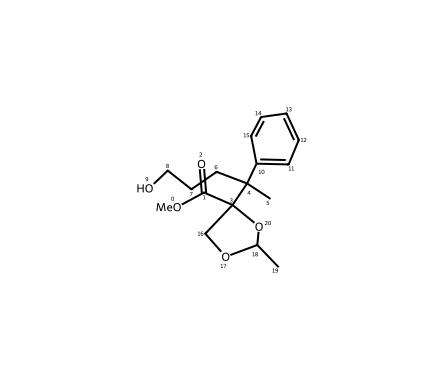 COC(=O)C1(C(C)(CCCO)c2ccccc2)COC(C)O1